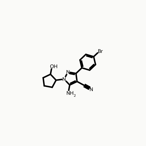 N#Cc1c(-c2ccc(Br)cc2)nn(C2CCCC2O)c1N